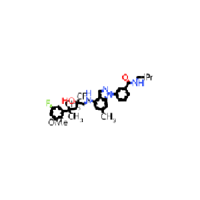 COc1ccc(F)cc1C(C)(C)CC(O)(CNc1cc(C)cc2c1cnn2-c1cccc(C(=O)NCC(C)C)c1)C(F)(F)F